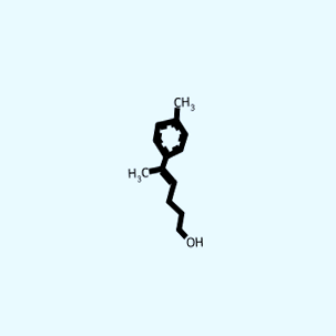 CC(=CCCCO)c1ccc(C)cc1